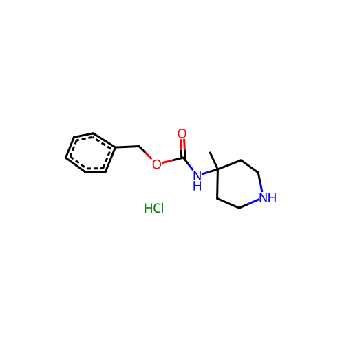 CC1(NC(=O)OCc2ccccc2)CCNCC1.Cl